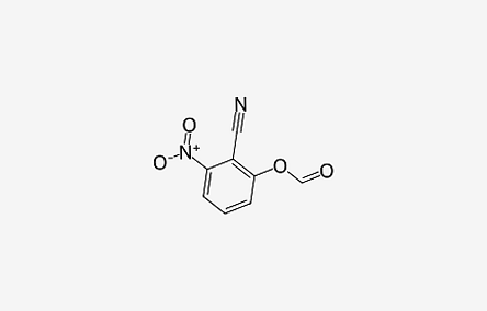 N#Cc1c(OC=O)cccc1[N+](=O)[O-]